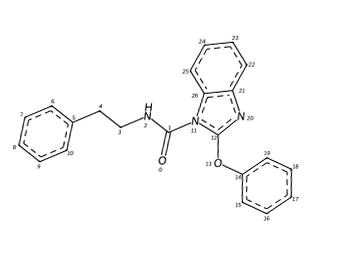 O=C(NCCc1ccccc1)n1c(Oc2ccccc2)nc2ccccc21